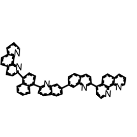 c1cnc2c(c1)ccc1ccc(-c3ccc(-c4ccc5ccc(-c6ccc7ccc(-c8ccnc9c8ccc8cccnc89)nc7c6)cc5n4)c4ccccc34)nc12